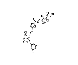 O=C(OC[C@H](O)[C@H](O)[C@@H](O)[C@@H](O)CO)c1ccc(CCC[C@@H]2[C@@H](CCc3cc(Cl)cc(Cl)c3)[C@H](O)C[C@H]2Cl)s1